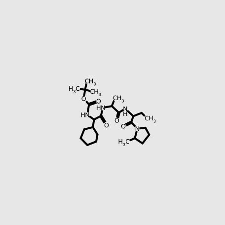 CCC(NC(=O)C(C)NC(=O)C(NC(=O)OC(C)(C)C)C1CCCCC1)C(=O)N1CCCC1C